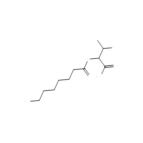 CC(O)C(NC(=O)CCCCCCS)C(=O)O